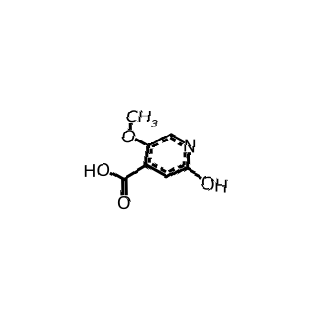 COc1cnc(O)cc1C(=O)O